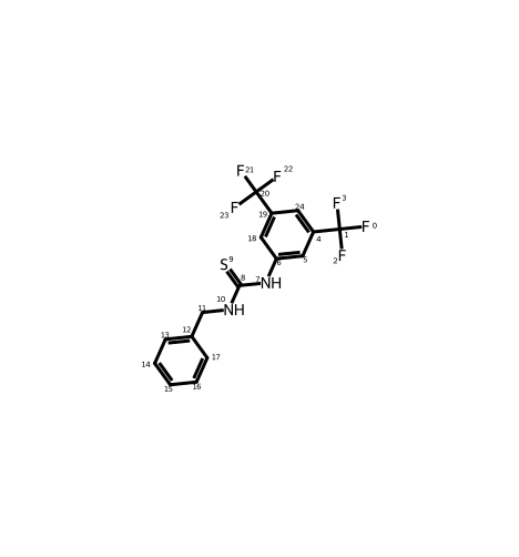 FC(F)(F)c1cc(NC(=S)NCc2ccccc2)cc(C(F)(F)F)c1